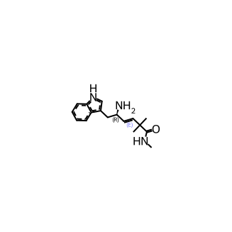 CNC(=O)C(C)(C)/C=C/[C@H](N)Cc1c[nH]c2ccccc12